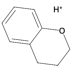 [H+].c1ccc2c(c1)CCCO2